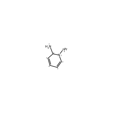 CCCN1C=CC=CC1N